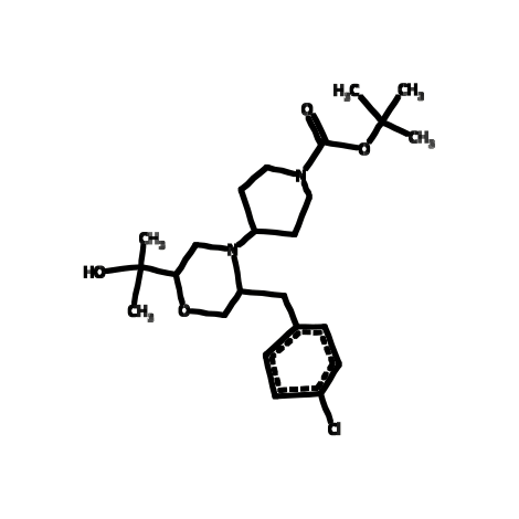 CC(C)(C)OC(=O)N1CCC(N2CC(C(C)(C)O)OCC2Cc2ccc(Cl)cc2)CC1